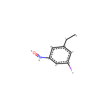 CCc1cc(I)cc(N=O)c1